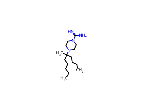 CCCCCC(C)(CCCC)N1CCN(C(=N)N)CC1